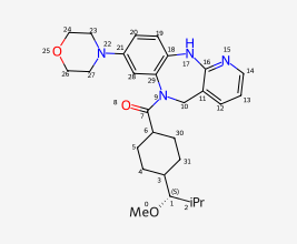 CO[C@@H](C(C)C)C1CCC(C(=O)N2Cc3cccnc3Nc3ccc(N4CCOCC4)cc32)CC1